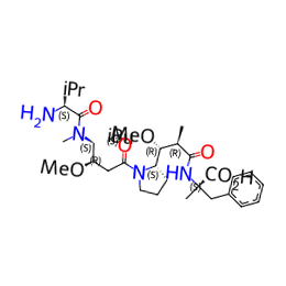 CC[C@H](C)[C@@H]([C@@H](CC(=O)N1CCC[C@H]1[C@H](OC)[C@@H](C)C(=O)N[C@@](C)(Cc1ccccc1)C(=O)O)OC)N(C)C(=O)[C@@H](N)C(C)C